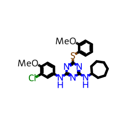 COc1ccc(Nc2nc(NC3CCCCCC3)nc(Sc3ccccc3OC)n2)cc1Cl